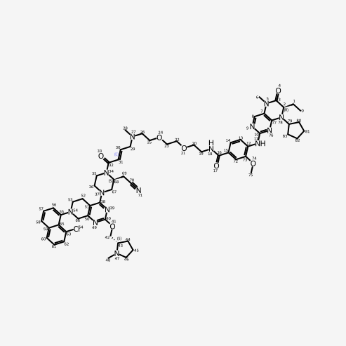 CC[C@@H]1C(=O)N(C)c2cnc(Nc3ccc(C(=O)NCCOCCOCCN(C)C/C=C/C(=O)N4CCN(c5nc(OC[C@@H]6CCCN6C)nc6c5CCN(c5cccc7cccc(Cl)c57)C6)C[C@@H]4CC#N)cc3OC)nc2N1C1CCCC1